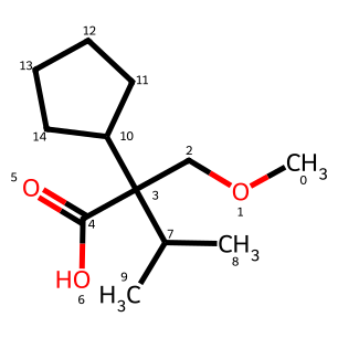 COCC(C(=O)O)(C(C)C)C1CCCC1